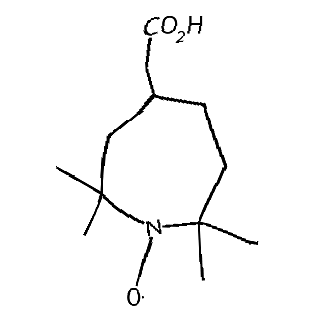 CC1(C)CCC(C(=O)O)CC(C)(C)N1[O]